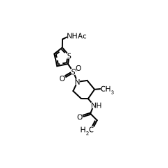 C=CC(=O)NC1CCN(S(=O)(=O)c2ccc(CNC(C)=O)s2)CC1C